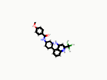 COc1ccc(C(=O)NC2CCC(c3cccc4nc(C(F)(F)F)cc(N)c34)CC2)cc1